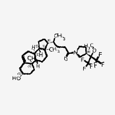 COC([C@@H]1CCN(C(=O)CCC(C)[C@H]2CC[C@H]3[C@@H]4CC=C5C[C@@H](O)CC[C@]5(C)[C@H]4CC[C@]23C)C1)(C(F)(F)F)C(F)(F)F